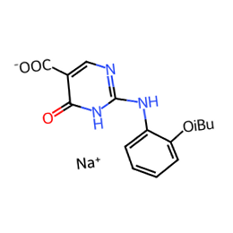 CC(C)COc1ccccc1Nc1ncc(C(=O)[O-])c(=O)[nH]1.[Na+]